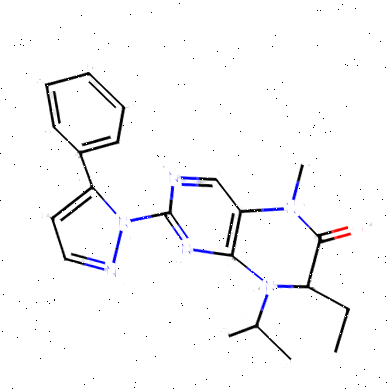 CCC1C(=O)N(C)c2cnc(-n3nccc3-c3ccccc3)nc2N1C(C)C